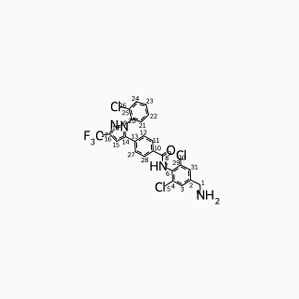 NCc1cc(Cl)c(NC(=O)c2ccc(-c3cc(C(F)(F)F)nn3-c3ccccc3Cl)cc2)c(Cl)c1